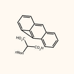 CCCCCCCCCC(C(=O)O)C(=O)O.c1ccc2c3c4c-3cccc4cc2c1